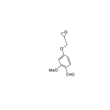 COc1cc(OCC2CO2)ccc1C=O